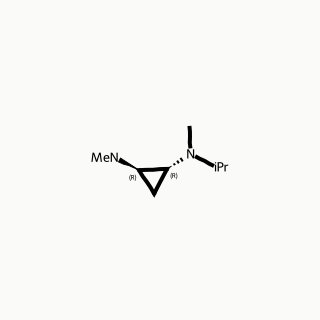 CN[C@@H]1C[C@H]1N(C)C(C)C